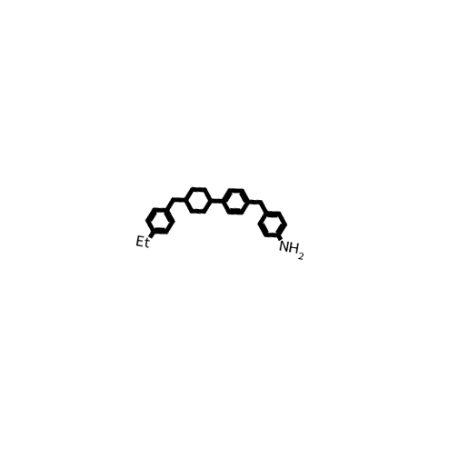 CCc1ccc(CC2CCC(c3ccc(Cc4ccc(N)cc4)cc3)CC2)cc1